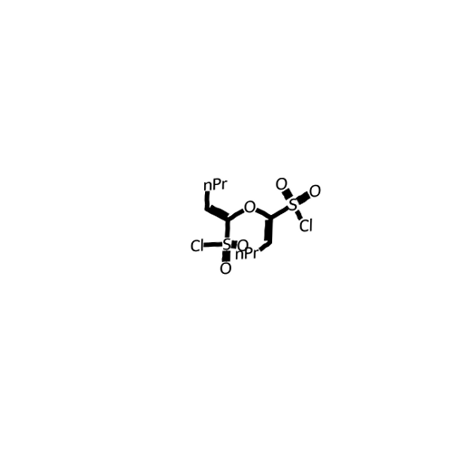 CCC/C=C(\O/C(=C\CCC)S(=O)(=O)Cl)S(=O)(=O)Cl